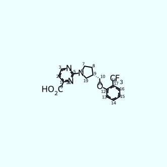 O=C(O)c1ccnc(N2CC[C@H](COc3ccccc3C(F)(F)F)C2)n1